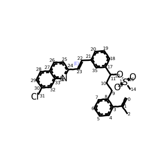 C=C(C)c1ccccc1CCC(OS(C)(=O)=O)c1cccc(/C=C/c2ccc3ccc(Cl)cc3n2)c1